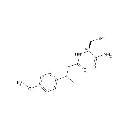 CC(C)C[C@H](NC(=O)CC(C)c1ccc(OC(F)(F)F)cc1)C(N)=O